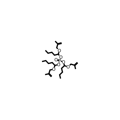 C=C(C)COC(CCCC)OP(=O)(OC(CCCC)OCC(=C)C)OC(CCCC)OCC(=C)C